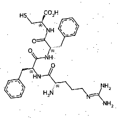 NC(N)=NCCC[C@H](N)C(=O)N[C@@H](Cc1ccccc1)C(=O)N[C@@H](Cc1ccccc1)C(=O)N[C@@H](CS)C(=O)O